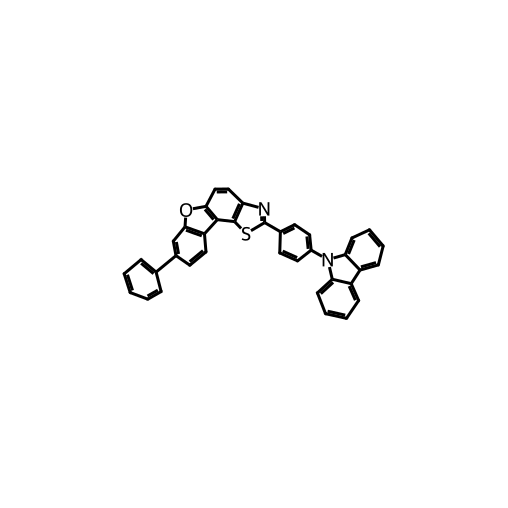 c1ccc(-c2ccc3c(c2)oc2ccc4nc(-c5ccc(-n6c7ccccc7c7ccccc76)cc5)sc4c23)cc1